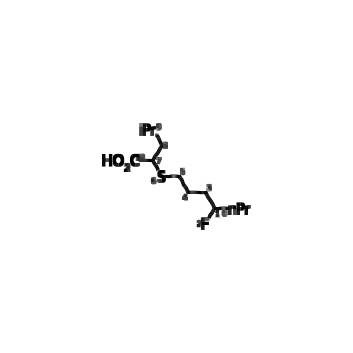 CCCC(F)CCCSC(CC(C)C)C(=O)O